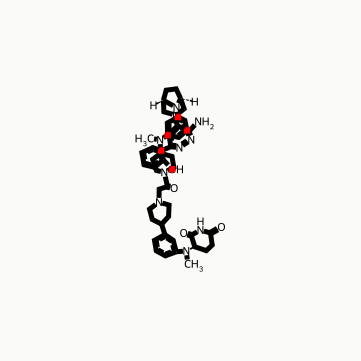 CN(c1cccc(N2[C@@H]3CC[C@H]2CN(c2cc(-c4ccccc4O)nnc2N)C3)c1)C1CCN(C(=O)CN2CCC(c3cccc(N(C)[C@H]4CCC(=O)NC4=O)c3)CC2)CC1